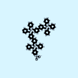 [O-]P([O-])[O-].c1ccc(C[P+](Cc2ccccc2)(Cc2ccccc2)Cc2ccccc2)cc1.c1ccc(C[P+](Cc2ccccc2)(Cc2ccccc2)Cc2ccccc2)cc1.c1ccc(C[P+](Cc2ccccc2)(Cc2ccccc2)Cc2ccccc2)cc1